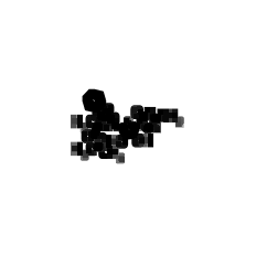 CC(C)OC(=O)[C@H](C)NP(=O)(OC[C@H]1S[C@@H](n2cnc(N)nc2=O)[C@@H](O)[C@H]1O)Oc1ccccc1